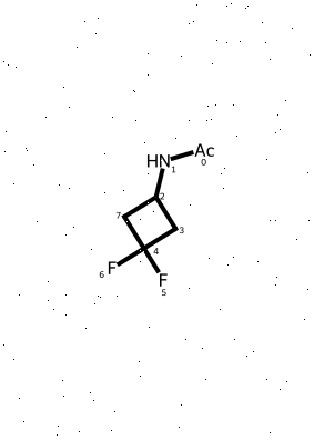 CC(=O)NC1CC(F)(F)C1